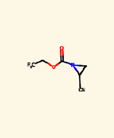 N#CC1CN1C(=O)OCC(F)(F)F